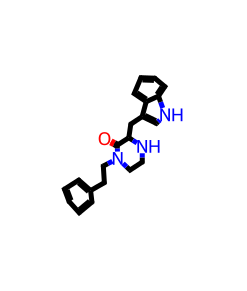 O=C1C(Cc2c[nH]c3ccccc23)NCCN1CCc1ccccc1